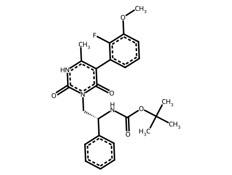 COc1cccc(-c2c(C)[nH]c(=O)n(C[C@H](NC(=O)OC(C)(C)C)c3ccccc3)c2=O)c1F